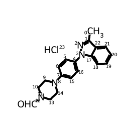 Cc1nn(-c2ccc(N3CCN(C=O)CC3)cc2)c2ccccc12.Cl